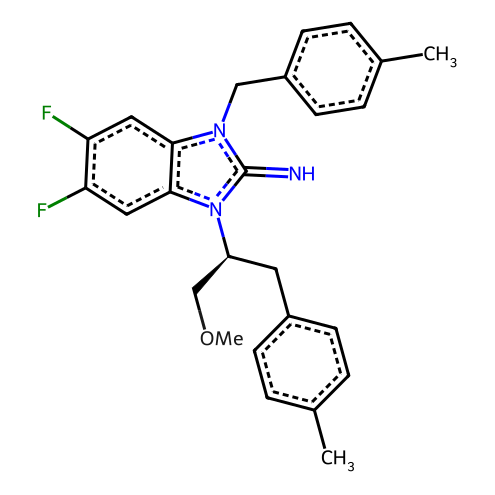 COC[C@H](Cc1ccc(C)cc1)n1c(=N)n(Cc2ccc(C)cc2)c2cc(F)c(F)cc21